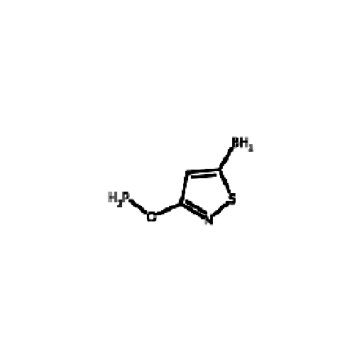 Bc1cc(OP)ns1